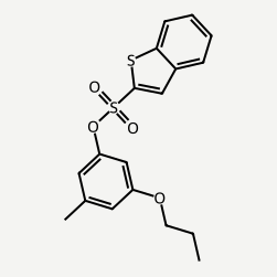 CCCOc1cc(C)cc(OS(=O)(=O)c2cc3ccccc3s2)c1